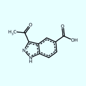 CC(=O)c1n[nH]c2ccc(C(=O)O)cc12